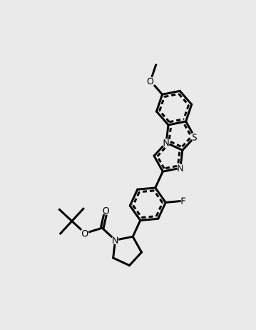 COc1ccc2sc3nc(-c4ccc(C5CCCN5C(=O)OC(C)(C)C)cc4F)cn3c2c1